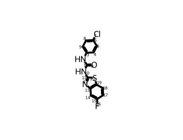 O=C(Nc1ccc(Cl)cc1)Nc1nc2cc(F)ccc2s1